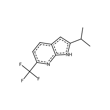 CC(C)c1cc2ccc(C(F)(F)F)nc2[nH]1